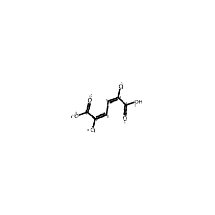 O=C(O)/C(Cl)=C\C=C(\Cl)C(=O)O